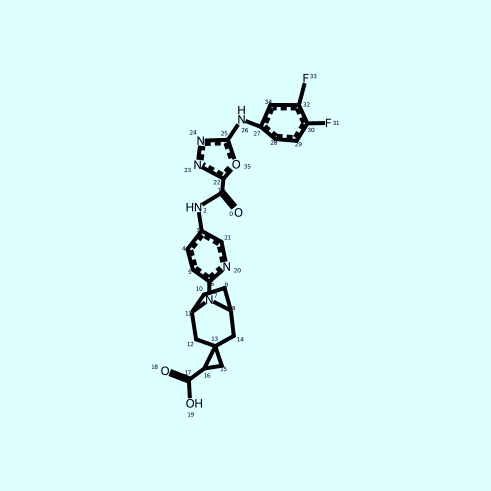 O=C(Nc1ccc(N2C3CCC2CC2(C3)CC2C(=O)O)nc1)c1nnc(Nc2ccc(F)c(F)c2)o1